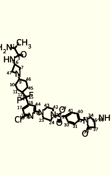 CC(N)C(=O)NC1CN(C2CCC(C(F)(F)c3cc(Cl)nc(N4CCN(S(=O)(=O)c5ccc(N6C[C@H](N)CC6=O)cc5)CC4)c3)CC2)C1